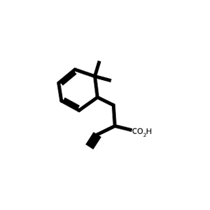 C#CC(CC1C=CC=CC1(C)C)C(=O)O